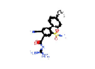 Cc1ccc(-c2cc(C#N)c(C(=O)N=C(N)N)cc2S(N)(=O)=O)cc1